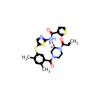 C=CC(=O)N1CCN(C(=O)c2cc(Sc3cnc(NC(=O)c4ccsc4)s3)c(C)cc2C)C[C@H]1CC